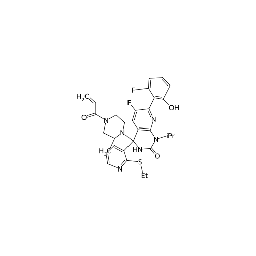 C=CC(=O)N1CCN(C2(c3cccnc3SCC)NC(=O)N(C(C)C)c3nc(-c4c(O)cccc4F)c(F)cc32)C(C)C1